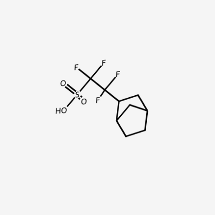 O=S(=O)(O)C(F)(F)C(F)(F)C1CC2CCC1C2